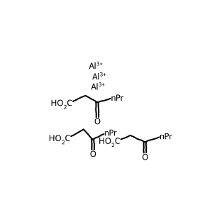 CCCC(=O)CC(=O)O.CCCC(=O)CC(=O)O.CCCC(=O)CC(=O)O.[Al+3].[Al+3].[Al+3]